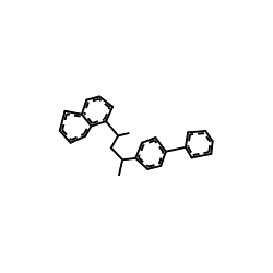 CC(CC(C)c1cccc2ccccc12)c1ccc(-c2ccccc2)cc1